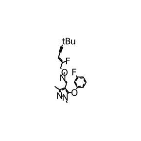 Cc1nn(C)c(Oc2cccc(F)c2)c1C=NOCC(F)=CC#CC(C)(C)C